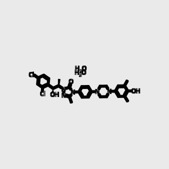 Cc1cc(N2CCN(c3ccc(-n4c(C)nn([C@H](C)[C@H](O)c5ccc(Cl)cc5Cl)c4=O)cc3)CC2)cc(C)c1O.O.O